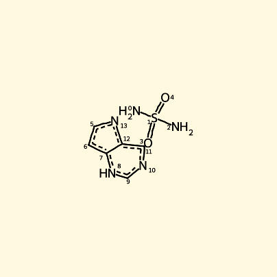 NS(N)(=O)=O.c1cc2[nH]cncc-2n1